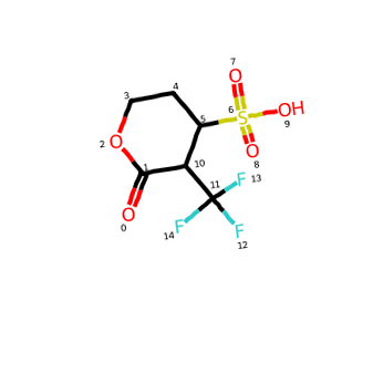 O=C1OCCC(S(=O)(=O)O)C1C(F)(F)F